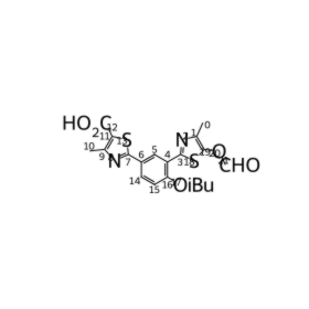 Cc1nc(-c2cc(-c3nc(C)c(C(=O)O)s3)ccc2OCC(C)C)sc1OC=O